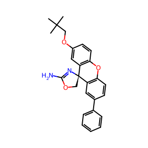 CC(C)(C)COc1ccc2c(c1)[C@]1(COC(N)=N1)c1cc(-c3ccccc3)ccc1O2